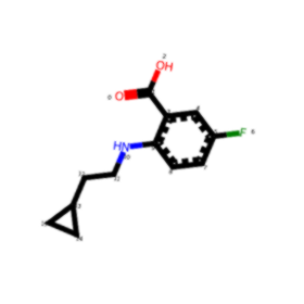 O=C(O)c1cc(F)ccc1NCCC1CC1